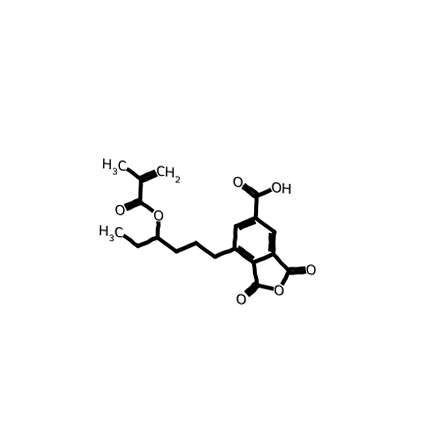 C=C(C)C(=O)OC(CC)CCCc1cc(C(=O)O)cc2c1C(=O)OC2=O